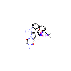 CN1CC(=O)N2[C@H](C1=O)[C@@H](OC(=O)OC(C)(C)C)[C@]1(c3c[nH]c4ccccc34)c3ccccc3N[C@H]21